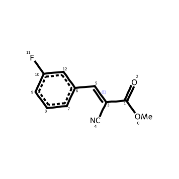 COC(=O)/C(C#N)=C/c1cccc(F)c1